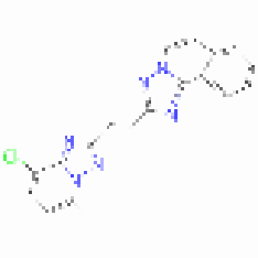 Cc1ccc(Cl)c2nc(CCc3nc4c5ccccc5ccn4n3)nn12